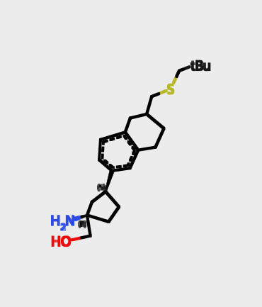 CC(C)(C)CSCC1CCc2cc([C@H]3CC[C@](N)(CO)C3)ccc2C1